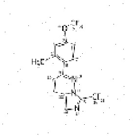 Cc1cc(OC(F)(F)F)ccc1-c1ccc2cnc(C(F)(F)F)n2n1